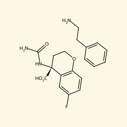 NC(=O)N[C@]1(C(=O)O)CCOc2ccc(F)cc21.NCCc1ccccc1